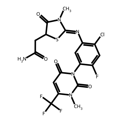 CN1C(=O)C(CC(N)=O)S/C1=N\c1cc(-n2c(=O)cc(C(F)(F)F)n(C)c2=O)c(F)cc1Cl